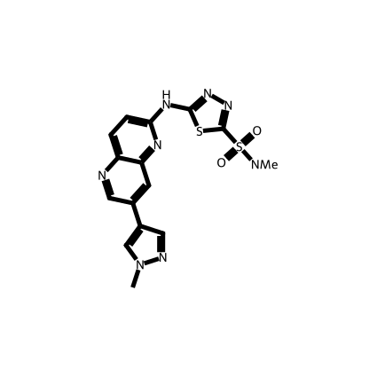 CNS(=O)(=O)c1nnc(Nc2ccc3ncc(-c4cnn(C)c4)cc3n2)s1